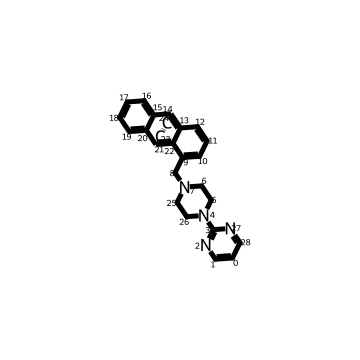 c1cnc(N2CCN(Cc3cccc4c5c6ccccc6c(c34)CC5)CC2)nc1